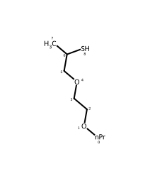 CCCOCCOCC(C)S